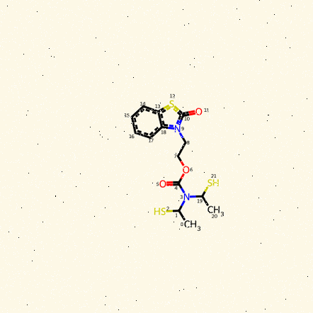 CC(S)N(C(=O)OCCn1c(=O)sc2ccccc21)C(C)S